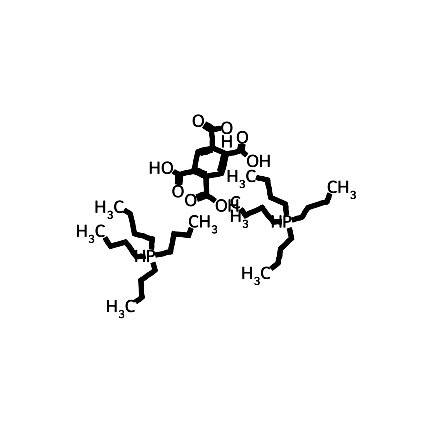 CCCC[PH](CCCC)(CCCC)CCCC.CCCC[PH](CCCC)(CCCC)CCCC.O=C(O)c1cc(C(=O)O)c(C(=O)O)cc1C(=O)O